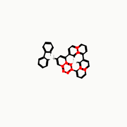 c1ccc(-c2ccccc2N(c2ccccc2-c2ccccc2)c2ccccc2-c2cc(-n3c4ccccc4c4ccccc43)cc3ccccc23)cc1